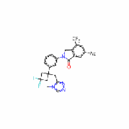 CC(=O)c1cc2c(c(C(F)(F)F)c1)CN(c1cccc(C3(Cc4nncn4C)CC(F)(F)C3)c1)C2=O